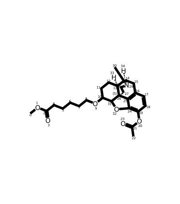 COC(=O)CCCCCOC1CC[C@H]2[C@H]3Cc4ccc(OC(C)=O)c5c4[C@@]2(CCN3C)C1O5